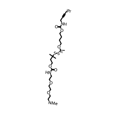 CNCCOCCOCCNC(=O)OCCC(C)(C)SS[C@H](C)OCCCCOC(=O)NCC#CC(C)C